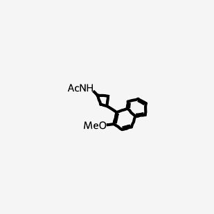 COc1ccc2ccccc2c1C1CC(NC(C)=O)C1